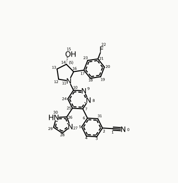 N#Cc1cccc(-c2nnc(N3CC[C@H](O)C3c3cccc(F)c3)cc2-c2ncc[nH]2)c1